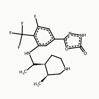 CC(Nc1cc(-c2n[nH]c(=O)o2)cc(F)c1C(F)(F)F)[C@H]1CCNC[C@H]1C